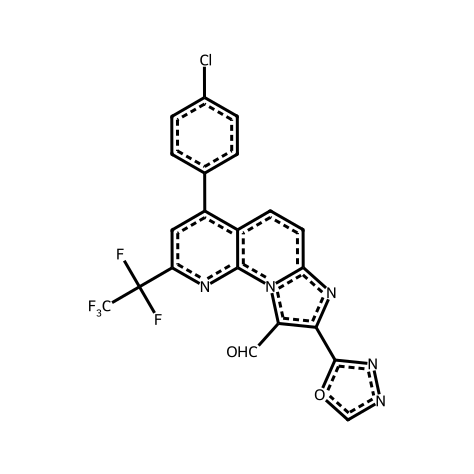 O=Cc1c(-c2nnco2)nc2ccc3c(-c4ccc(Cl)cc4)cc(C(F)(F)C(F)(F)F)nc3n12